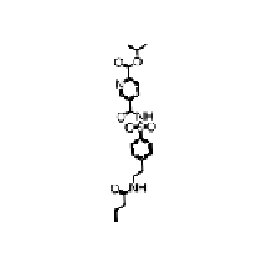 CCCC(=O)NCCc1ccc(S(=O)(=O)NC(=O)c2ccc(C(=O)OC(C)C)nc2)cc1